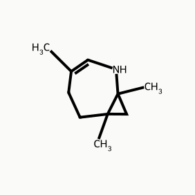 CC1=CNC2(C)CC2(C)CC1